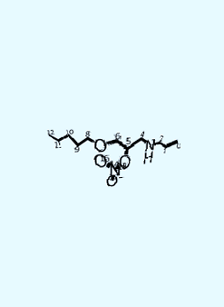 C=CCNCC(COCCCCC)O[N+](=O)[O-]